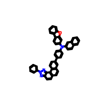 c1ccc(-n2nc3ccc4ccc5cc(-c6ccc(N(c7ccc8ccccc8c7)c7ccc8c(c7)oc7ccccc78)cc6)ccc5c4c3n2)cc1